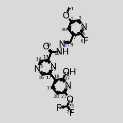 COc1cnc(F)c(/C=N/NC(=O)c2cncc(-c3ccc(OC(F)F)nc3O)n2)c1